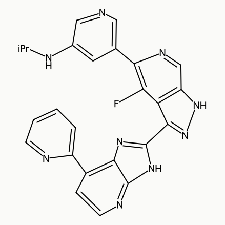 CC(C)Nc1cncc(-c2ncc3[nH]nc(-c4nc5c(-c6ccccn6)ccnc5[nH]4)c3c2F)c1